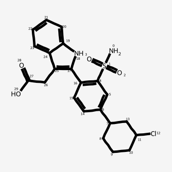 NS(=O)(=O)c1cc(C2CCCC(Cl)C2)ccc1-c1[nH]c2ccccc2c1CC(=O)O